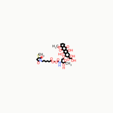 COc1cccc2c1C(=O)c1c(O)c3c(c(O)c1C2=O)C[C@@](O)(C(=O)CO)C[C@@H]3O[C@H]1C[C@H](NC(=O)OCOC(=O)CCCCCN2C(=O)CC(SC)C2=O)[C@H](O)[C@H](C)O1